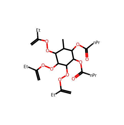 C=C(CC)OOC1C(C)C(OC(=O)CCC)C(OC(=O)CCC)C(OOC(=C)CC)C1OOC(=C)CC